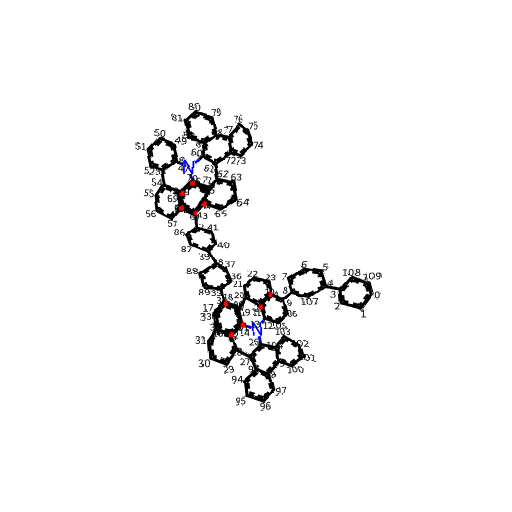 c1ccc(-c2cccc(-c3ccc(N(c4ccccc4-c4ccccc4)c4c(-c5cccc6cc(-c7ccc(-c8ccc(-c9ccc(N(c%10ccccc%10-c%10ccccc%10)c%10c(-c%11cccc%12ccccc%11%12)c%11ccccc%11c%11ccccc%10%11)cc9)cc8)cc7)ccc56)c5ccccc5c5ccccc45)cc3)c2)cc1